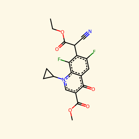 CCOC(=O)C(C#N)c1c(F)cc2c(=O)c(C(=O)OC)cn(C3CC3)c2c1F